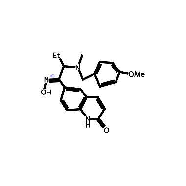 CCC(/C(=N/O)c1ccc2[nH]c(=O)ccc2c1)N(C)Cc1ccc(OC)cc1